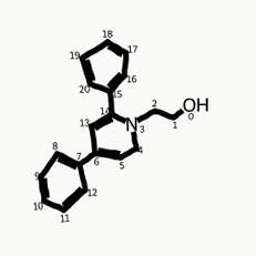 OCCN1CC=C(c2ccccc2)C=C1c1ccccc1